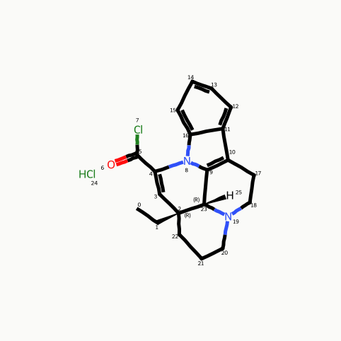 CC[C@]12C=C(C(=O)Cl)n3c4c(c5ccccc53)CCN(CCC1)[C@@H]42.Cl